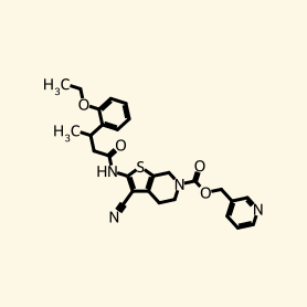 CCOc1ccccc1C(C)CC(=O)Nc1sc2c(c1C#N)CCN(C(=O)OCc1cccnc1)C2